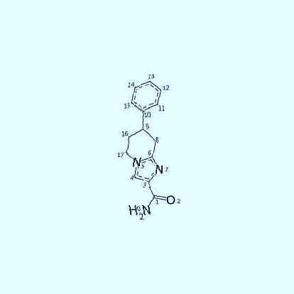 NC(=O)c1cn2c(n1)CC(c1ccccc1)CC2